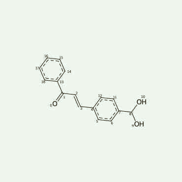 O=C(C=Cc1ccc(C(O)O)cc1)c1ccccc1